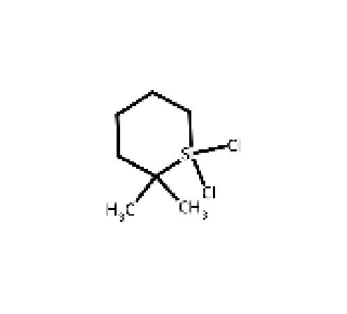 CC1(C)CCCC[Si]1(Cl)Cl